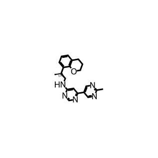 Cc1ncc(-c2cc(NC[C@@H](C)c3cccc4c3OCCC4)ncn2)cn1